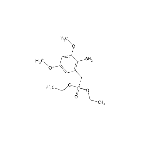 Bc1c(CP(=O)(OCC)OCC)cc(OC)cc1OC